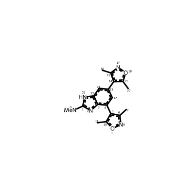 CNc1nc2c(-c3c(C)noc3C)cc(-c3c(C)noc3C)cc2[nH]1